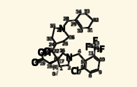 C[C@H]1CN(Cc2c(Cl)cccc2C(F)(F)F)C[C@@]1(CC(=O)O)C(=O)C1CCN(CC2=CCCCC2)CC1